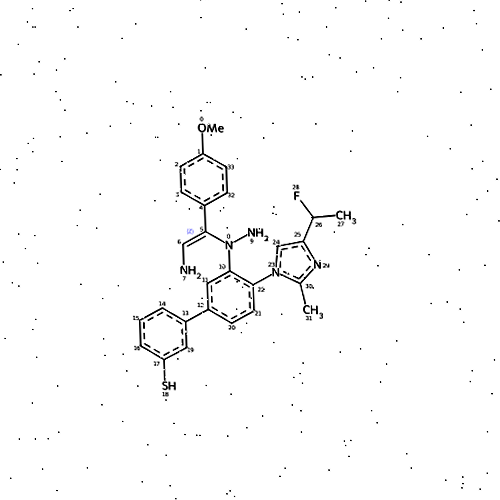 COc1ccc(/C(=C/N)N(N)c2cc(-c3cccc(S)c3)ccc2-n2cc(C(C)F)nc2C)cc1